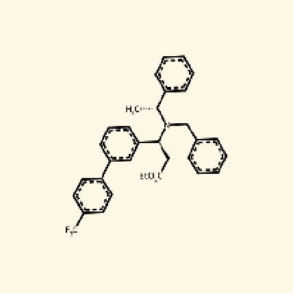 CCOC(=O)C[C@@H](c1cccc(-c2ccc(C(F)(F)F)cc2)c1)N(Cc1ccccc1)[C@H](C)c1ccccc1